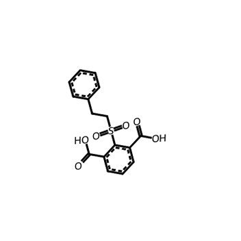 O=C(O)c1cccc(C(=O)O)c1S(=O)(=O)CCc1ccccc1